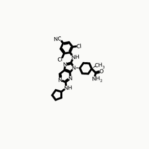 C[C@]1(C(N)=O)CC[C@H](n2c(Nc3c(Cl)cc(C#N)cc3Cl)nc3cnc(NC4CCCC4)nc32)CC1